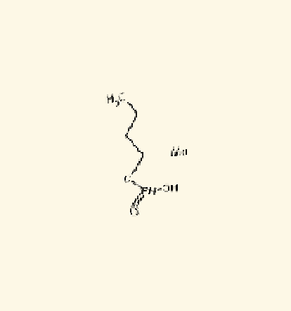 CCCCO[PH](=O)O.[Mo]